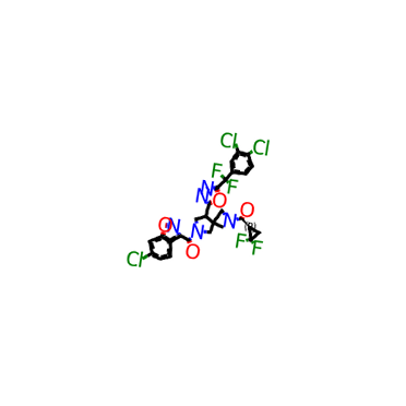 O=C(c1noc2cc(Cl)ccc12)N1CC(c2nnc(C(F)(F)c3ccc(Cl)c(Cl)c3)o2)C2(C1)CN(C(=O)[C@H]1CC1(F)F)C2